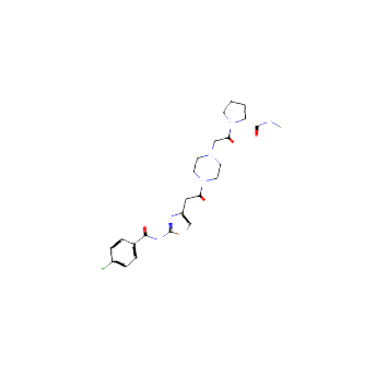 CNC(=O)[C@@H]1CCCN1C(=O)CN1CCN(C(=O)Cc2csc(NC(=O)c3ccc(Cl)cc3)n2)CC1